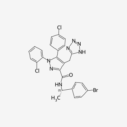 C[C@H](NC(=O)c1nn(-c2ccccc2Cl)c(-c2ccc(Cl)cc2)c1Cc1nnn[nH]1)c1ccc(Br)cc1